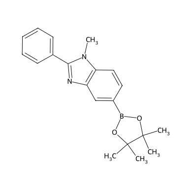 Cn1c(-c2ccccc2)nc2cc(B3OC(C)(C)C(C)(C)O3)ccc21